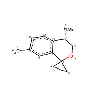 CN[C@@H]1COC2(CC2)c2cc(C(F)(F)F)ccc21